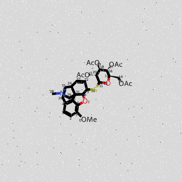 COc1ccc2c3c1OC1C(SC4O[C@H](COC(C)=O)[C@@H](OC(C)=O)[C@H](OC(C)=O)[C@H]4OC(C)=O)C=CC4C(C2)N(C)CCC341